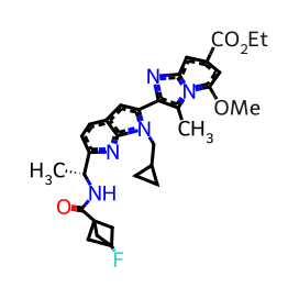 CCOC(=O)c1cc(OC)n2c(C)c(-c3cc4ccc([C@@H](C)NC(=O)C56CC(F)(C5)C6)nc4n3CC3CC3)nc2c1